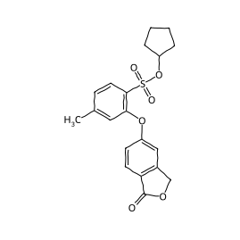 Cc1ccc(S(=O)(=O)OC2CCCC2)c(Oc2ccc3c(c2)COC3=O)c1